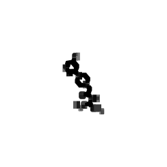 CC(C)NC(=O)CN1CCN(c2cc(Cl)cnn2)CC1